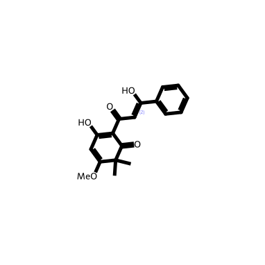 COC1=CC(O)=C(C(=O)/C=C(\O)c2ccccc2)C(=O)C1(C)C